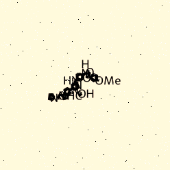 COc1ccc(S(=O)(=O)Nc2ccc(Nc3cc(-c4ccc5c(ccn5CCN5CCCC5)c4)ncn3)cc2)cc1.O=CO